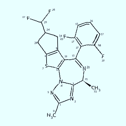 Cc1nc2n(n1)-c1sc3c(c1C(c1c(F)cccc1F)=N[C@H]2C)CC(C(F)F)C3